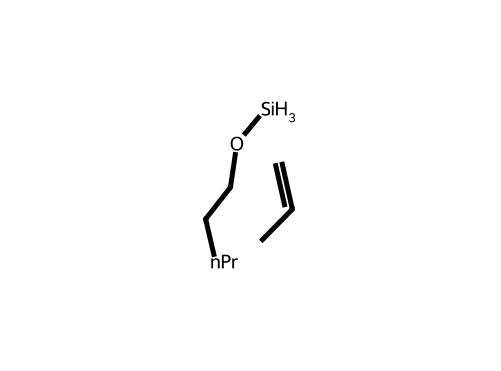 C=CC.CCCCCO[SiH3]